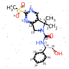 CC1(C)c2cnc(S(C)(=O)=O)nc2CN1C(=O)N[C@H](CO)c1ccccc1